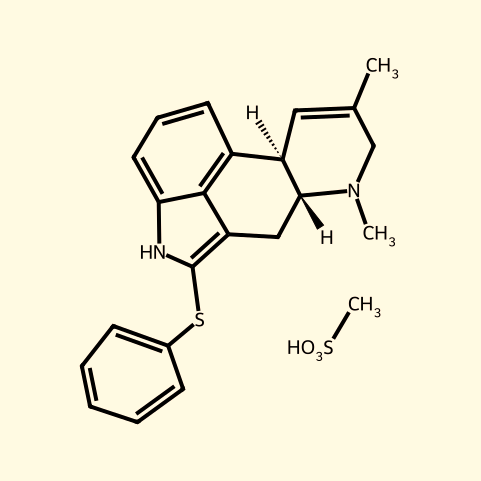 CC1=C[C@@H]2c3cccc4[nH]c(Sc5ccccc5)c(c34)C[C@H]2N(C)C1.CS(=O)(=O)O